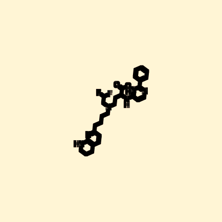 O=C(O)C(CCN(CCCCc1ccc2c(n1)NCCC2)CC(F)F)Nc1ccnc(-c2ccccc2)n1